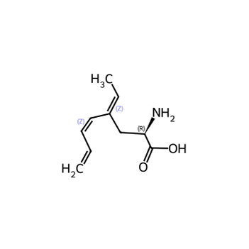 C=C/C=C\C(=C/C)C[C@@H](N)C(=O)O